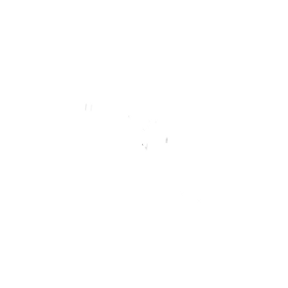 CCCC[C@H](NC(=O)O[C@@H]1CCC[C@H]1C)C(=O)O